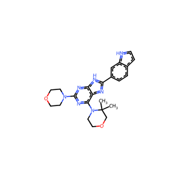 CC1(C)COCCN1c1nc(N2CCOCC2)nc2[nH]c(-c3ccc4cc[nH]c4c3)nc12